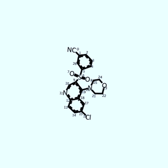 N#Cc1cccc(S(=O)(=O)c2cnc3ccc(Cl)cc3c2N2CCOCC2)c1